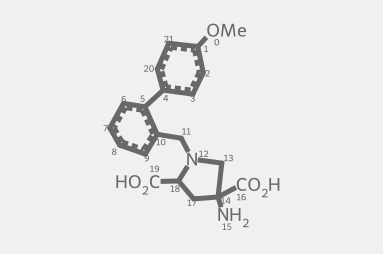 COc1ccc(-c2ccccc2CN2CC(N)(C(=O)O)CC2C(=O)O)cc1